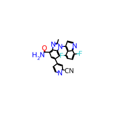 Cc1nc2c(C(N)=O)cc(-c3ccnc(C#N)c3)cc2n1-c1ccnc2c(F)ccc(F)c12